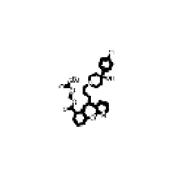 CC(C)(C)C(=O)OCOC(=O)C1C=CC=C2Oc3ncccc3C(=CCCN3CCC(O)(c4ccc(Cl)cc4)CC3)C=C21